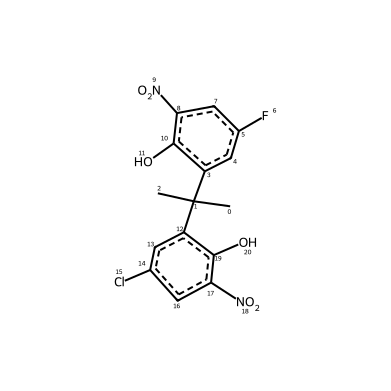 CC(C)(c1cc(F)cc([N+](=O)[O-])c1O)c1cc(Cl)cc([N+](=O)[O-])c1O